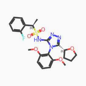 COc1cccc(OC)c1-n1c(NS(=O)(=O)[C@H](C)c2ccccc2F)nnc1[C@H]1CCCO1